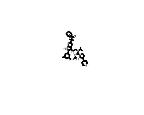 Cc1cc(C)cc(-c2[nH]c3sc(C(C)(C)C(=O)N4C5CCC4CC5)cc3c2[C@@H](C)CN(C(=NC(=O)O)N2CCC(c3ccncc3)C2)C(C)C)c1